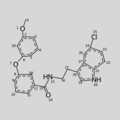 COc1cccc(Oc2cccc(C(=O)NCCc3c[nH]c4ccc(Cl)cc34)c2)c1